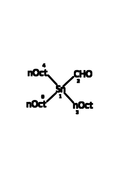 CCCCCCC[CH2][Sn]([CH]=O)([CH2]CCCCCCC)[CH2]CCCCCCC